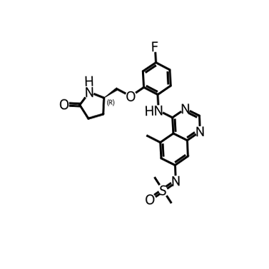 Cc1cc(N=S(C)(C)=O)cc2ncnc(Nc3ccc(F)cc3OC[C@H]3CCC(=O)N3)c12